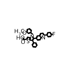 COc1cccc(Cn2c(-c3ccc4nc(-c5ccc(F)cc5)ccc4c3)c(-c3ccccc3)c3sc(C(=O)O)cc32)c1